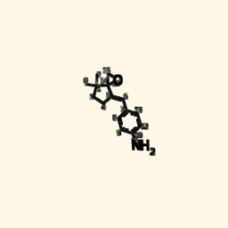 CC1(C)CCC(=Cc2ccc(N)cc2)C12CO2